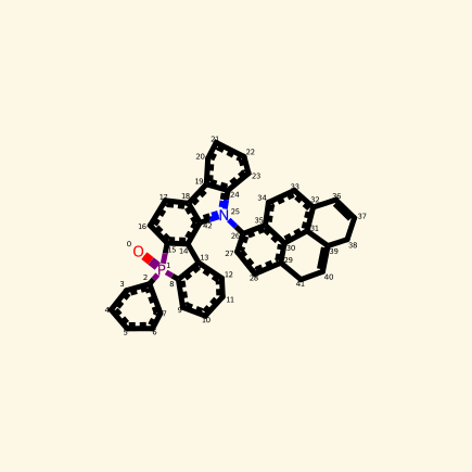 O=P1(c2ccccc2)c2ccccc2-c2c1ccc1c3ccccc3n(-c3ccc4c5c6c(ccc35)C=CCC6=CC4)c21